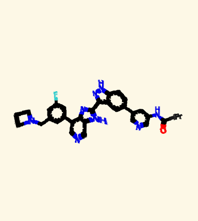 CC(C)C(=O)Nc1cncc(-c2ccc3[nH]nc(-c4nc5c(-c6cc(F)cc(CN7CCC7)c6)cncc5[nH]4)c3c2)c1